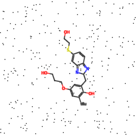 CC(C)(C)c1cc(OCCCO)cc(CC2N=c3ccc(SCCO)cc3=N2)c1O